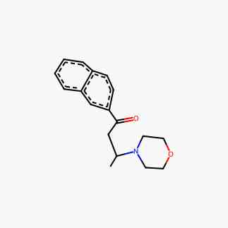 CC(CC(=O)c1ccc2ccccc2c1)N1CCOCC1